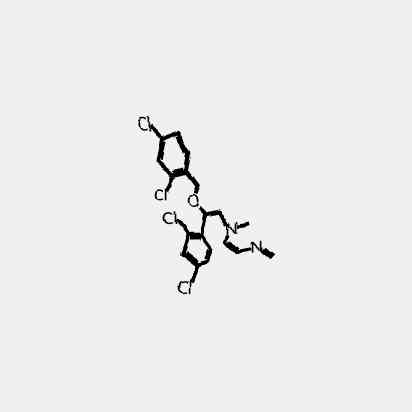 C=N/C=C\N(C)CC(OCc1ccc(Cl)cc1Cl)c1ccc(Cl)cc1Cl